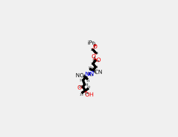 CC(C)OCCOC(=O)CCC(C)(C#N)/N=N/C(C)(C#N)CCC(=O)C(C)(C)O